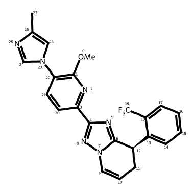 COc1nc(-c2nc3n(n2)C=CC[C@@H]3c2ccccc2C(F)(F)F)ccc1-n1cnc(C)c1